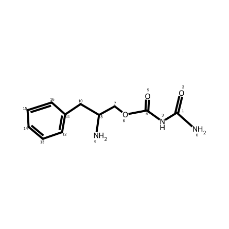 NC(=O)NC(=O)OCC(N)Cc1ccccc1